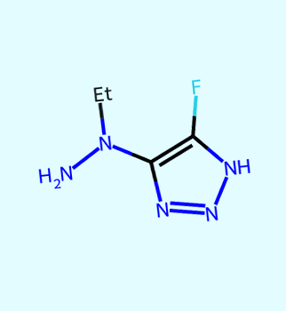 CCN(N)c1nn[nH]c1F